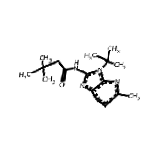 Cc1ccc2nc(NC(=O)CC(C)(C)C)n(C(C)(C)C)c2n1